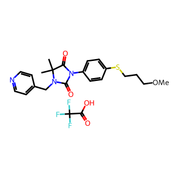 COCCCSc1ccc(N2C(=O)N(Cc3ccncc3)C(C)(C)C2=O)cc1.O=C(O)C(F)(F)F